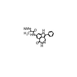 CNC(C)C(=O)Nc1cc2c3c(c(-c4ccccc4)[nH]c3c1)C=NNC2=O